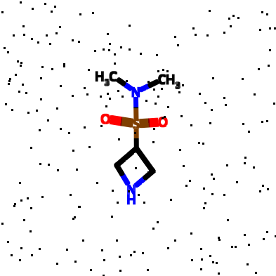 CN(C)S(=O)(=O)C1CNC1